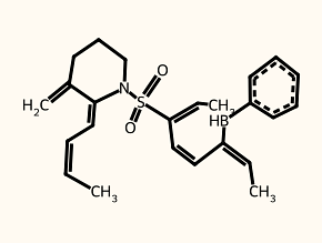 C=C1CCCN(S(=O)(=O)C(/C=C\C(Bc2ccccc2)=C/C)=C/C)/C1=C/C=C\C